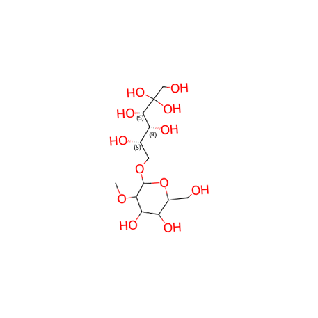 COC1C(OC[C@H](O)[C@@H](O)[C@H](O)C(O)(O)CO)OC(CO)C(O)C1O